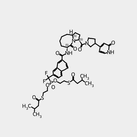 CC(C)CC(=O)SCCOP(=O)(OCCSC(=O)CC(C)C)C(F)(F)c1ccc2ccc(C(=O)N[C@H]3CCCC[C@H]4CC[C@@H](C(=O)N5CCC(c6cc[nH]c(=O)c6)C5)N4C3=O)cc2c1